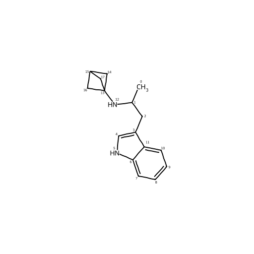 CC(Cc1c[nH]c2ccccc12)NC12CC(C1)C2